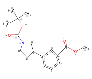 COC(=O)c1cccc(C2CCN(C(=O)OC(C)(C)C)C2)c1